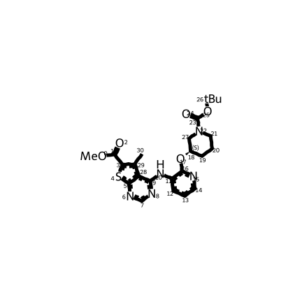 COC(=O)c1sc2ncnc(Nc3cccnc3O[C@H]3CCCN(C(=O)OC(C)(C)C)C3)c2c1C